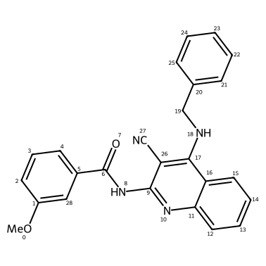 COc1cccc(C(=O)Nc2nc3ccccc3c(NCc3ccccc3)c2C#N)c1